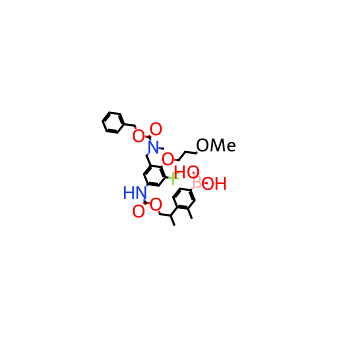 COCCCOc1c(F)cc(NC(=O)OCC(C)c2ccc(B(O)O)cc2C)cc1CN(C)C(=O)OCc1ccccc1